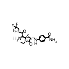 CCN1C(=O)[C@@H](CNc2ccc(C(N)=O)cc2)SC1[C@H](N)C(=O)NCC(F)(F)F